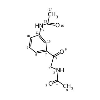 CC(=O)NCC(=O)c1cccc(NC(C)=O)c1